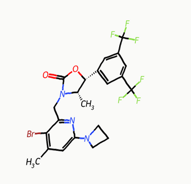 Cc1cc(N2CCC2)nc(CN2C(=O)O[C@H](c3cc(C(F)(F)F)cc(C(F)(F)F)c3)[C@@H]2C)c1Br